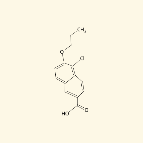 CCCOc1ccc2cc(C(=O)O)ccc2c1Cl